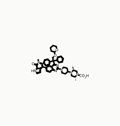 C[C@@H]1CN(C2CCN(c3nc(C(COC4CCCCO4)(c4ccccc4)c4ccccc4)c4cc(-c5cn(C)c(=O)c6[nH]ccc56)ccc4n3)CC2)[C@@H](C)CN1C(=O)O